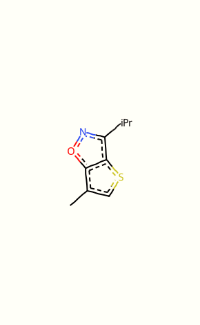 Cc1csc2c(C(C)C)noc12